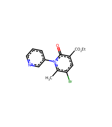 CCOC(=O)c1cc(Br)c(C)n(-c2cccnc2)c1=O